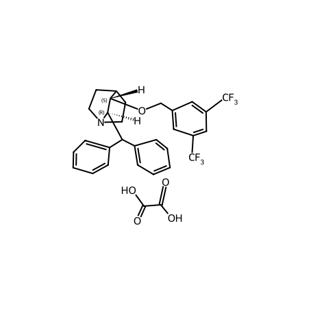 FC(F)(F)c1cc(CO[C@H]2C3CCN(CC3)[C@@H]2C(c2ccccc2)c2ccccc2)cc(C(F)(F)F)c1.O=C(O)C(=O)O